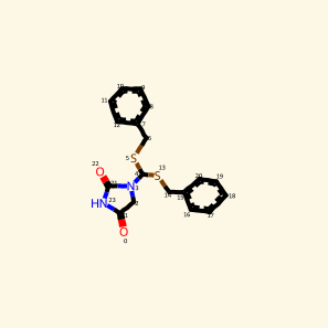 O=C1CN(C(SCc2ccccc2)SCc2ccccc2)C(=O)N1